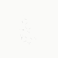 CC1C(=O)N(c2ccc(SC(F)(F)F)cc2)C(=O)N1Cc1c(N2CCCCC2)cnc2ccccc12